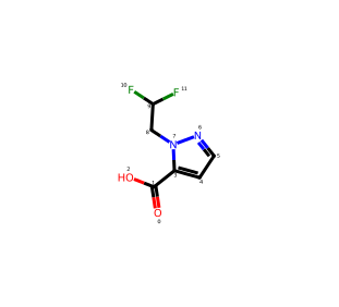 O=C(O)c1ccnn1CC(F)F